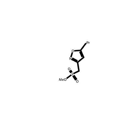 COS(=O)(=O)Cc1cc(C(C)C)on1